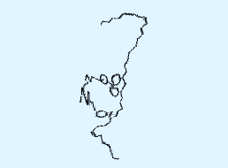 CCCCC/C=C\C/C=C\CCCCCCCCC(CCCCCCCC/C=C\C/C=C\CCCCC)OC(=O)OCCN(C)CCN(C)CCO